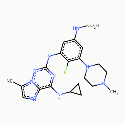 CN1CCN(c2cc(NC(=O)O)cc(Nc3nc(NC4CC4)c4ncc(C#N)n4n3)c2F)CC1